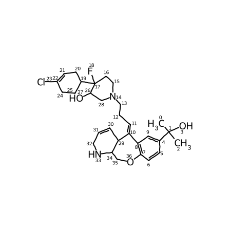 CC(C)(O)c1ccc2c(c1)/C(=C/CCN1CCC(F)(C3CC=C(Cl)CC3)C(O)C1)C1C=CCNC1CO2